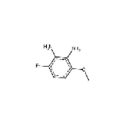 COc1ccc(F)c(N)c1N